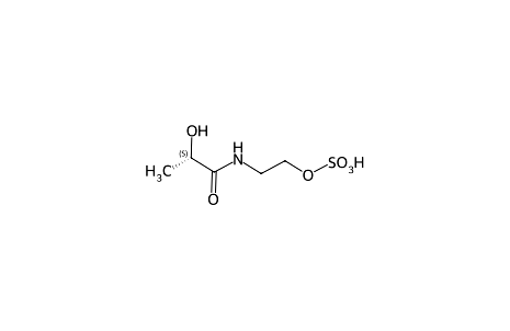 C[C@H](O)C(=O)NCCOS(=O)(=O)O